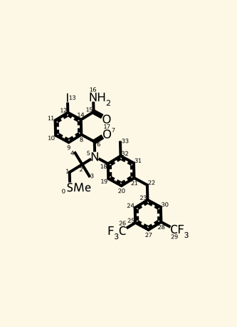 CSCC(C)(C)N(C(=O)c1cccc(I)c1C(N)=O)c1ccc(Cc2cc(C(F)(F)F)cc(C(F)(F)F)c2)cc1C